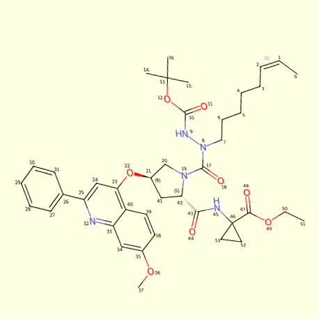 C/C=C\CCCCCN(NC(=O)OC(C)(C)C)C(=O)N1C[C@H](Oc2cc(-c3ccccc3)nc3cc(OC)ccc23)C[C@H]1C(=O)NC1(C(=O)OCC)CC1